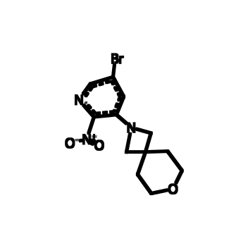 O=[N+]([O-])c1ncc(Br)cc1N1CC2(CCOCC2)C1